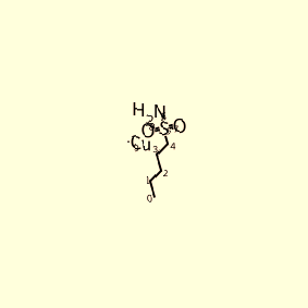 CCCCCS(N)(=O)=O.[Cu]